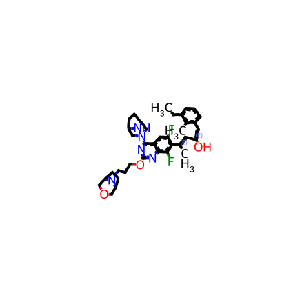 CCc1cccc(/C=C(O)\C=C(/C)c2c(F)cc3c(N4CC5CCC(C4)N5)nc(OCCCN4C5CCC4COC5)nc3c2F)c1C